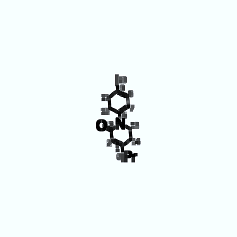 CC(C)C1=CC(=O)N(C2=CC=C(I)CC2)CC1